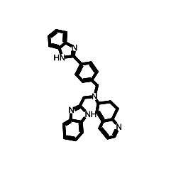 C1=CC2=CC(N(Cc3ccc(-c4nc5ccccc5[nH]4)cc3)Cc3nc4ccccc4[nH]3)CCC2N=C1